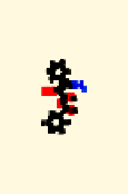 N[C@@H](c1ccccc1)[C@@H](O)C(=O)OC(=O)c1ccccc1